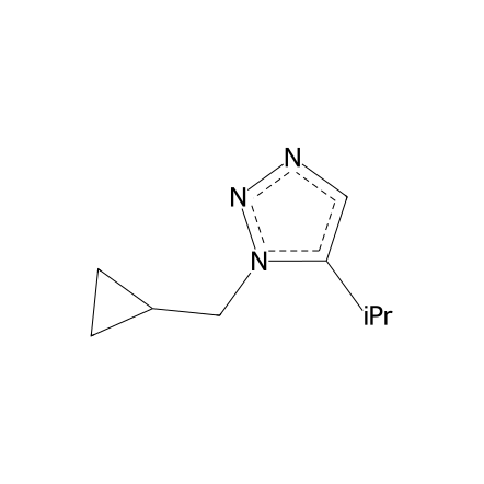 CC(C)c1cnnn1CC1CC1